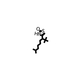 CC(C)CCCCC(c1csc(=O)[nH]1)C(C)(C)C